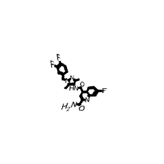 Cc1nn(Cc2ccc(F)c(F)c2)c(C)c1NC(=O)c1cc(C(N)=O)nc2cc(F)ccc12